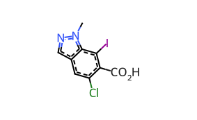 Cn1ncc2cc(Cl)c(C(=O)O)c(I)c21